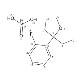 CCC(CC)(OC)c1ccccc1F.O=[PH](O)O